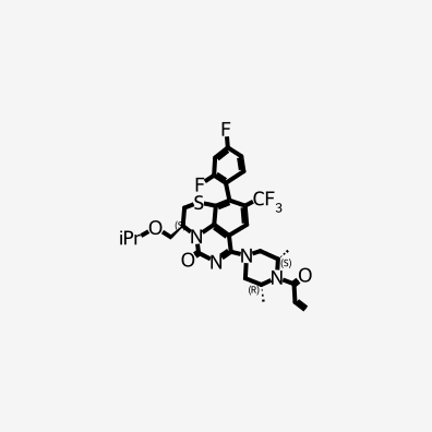 C=CC(=O)N1[C@H](C)CN(c2nc(=O)n3c4c(c(-c5ccc(F)cc5F)c(C(F)(F)F)cc24)SC[C@@H]3COC(C)C)C[C@@H]1C